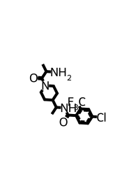 CC(N)C(=O)N1CCC(C(C)NC(=O)c2ccc(Cl)cc2C(F)(F)F)CC1